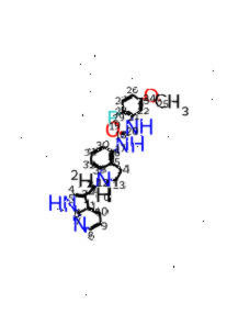 [2H]C([2H])(c1c[nH]c2ncccc12)N1CCc2c(NC(=O)Nc3cc(OC)ccc3F)cccc21